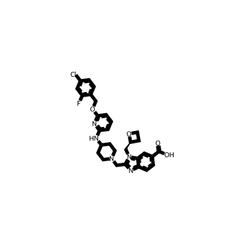 O=C(O)c1ccc2nc(CN3CCC(Nc4cccc(OCc5ccc(Cl)cc5F)n4)CC3)n(C[C@@H]3CCO3)c2c1